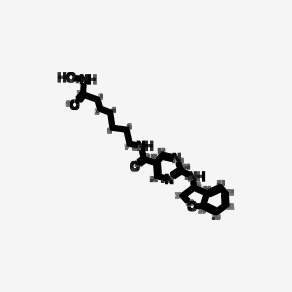 O=C(CCCCCCNC(=O)c1cnc(NC2COc3ccccc32)nc1)NO